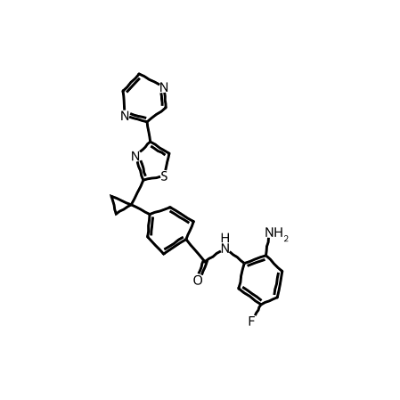 Nc1ccc(F)cc1NC(=O)c1ccc(C2(c3nc(-c4cnccn4)cs3)CC2)cc1